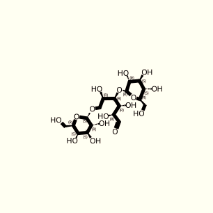 O=C[C@H](O)[C@@H](O)[C@H](O[C@H]1O[C@H](CO)[C@@H](O)[C@H](O)[C@H]1O)[C@H](O)CO[C@H]1O[C@H](CO)[C@@H](O)[C@H](O)[C@H]1O